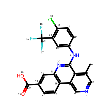 Cc1cncc2c1c(Nc1ccc(Cl)c(C(F)(F)F)c1)nc1cc(C(=O)O)ccc12